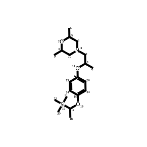 CC(CN1CC(C)OC(C)C1)Oc1ccc(OC(C)[Si](C)(C)C)cc1